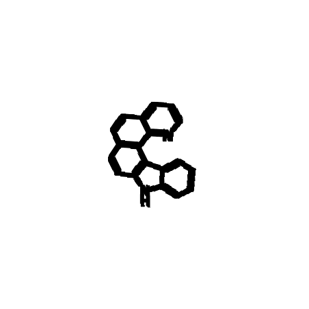 c1cnc2c(c1)ccc1ccc3[nH]c4ccccc4c3c12